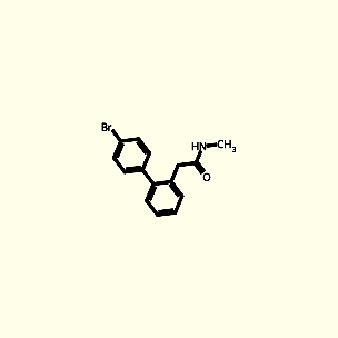 CNC(=O)Cc1ccccc1-c1ccc(Br)cc1